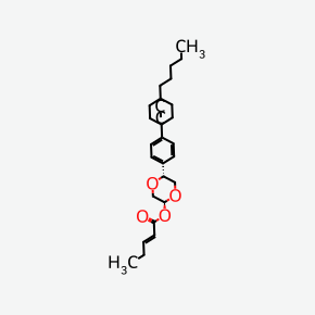 CC/C=C/C(=O)O[C@H]1CO[C@H](c2ccc(C34CCC(CCCCC)(CC3)CC4)cc2)CO1